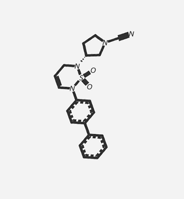 N#CN1CC[C@@H](N2CC=CN(c3ccc(-c4ccccc4)cc3)S2(=O)=O)C1